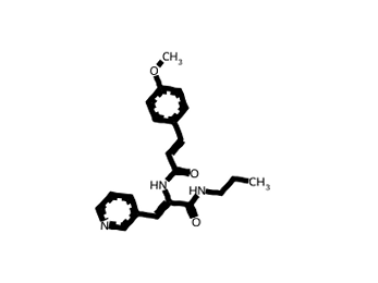 CCCNC(=O)/C(=C/c1cccnc1)NC(=O)/C=C/c1ccc(OC)cc1